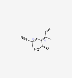 C=C/C(C)=C(\C=C(/C)C#N)C(=O)O